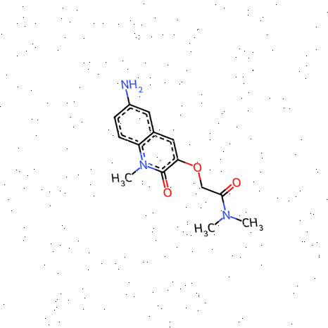 CN(C)C(=O)COc1cc2cc(N)ccc2n(C)c1=O